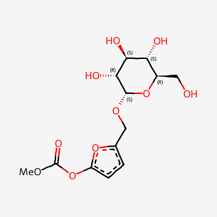 COC(=O)Oc1ccc(CO[C@H]2O[C@H](CO)[C@@H](O)[C@H](O)[C@H]2O)o1